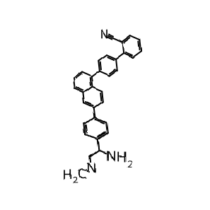 C=NCC(N)c1ccc(-c2ccc3c(-c4ccc(-c5ccccc5C#N)cc4)cccc3c2)cc1